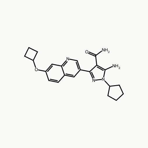 NC(=O)c1c(-c2cnc3cc(OC4CCC4)ccc3c2)nn(C2CCCC2)c1N